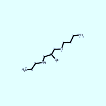 NCCCOCC(O)CNCCN